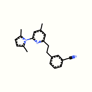 Cc1cc(CCc2cccc(C#N)c2)nc(-n2c(C)ccc2C)c1